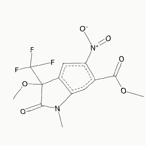 COC(=O)c1cc2c(cc1[N+](=O)[O-])C(OC)(C(F)(F)F)C(=O)N2C